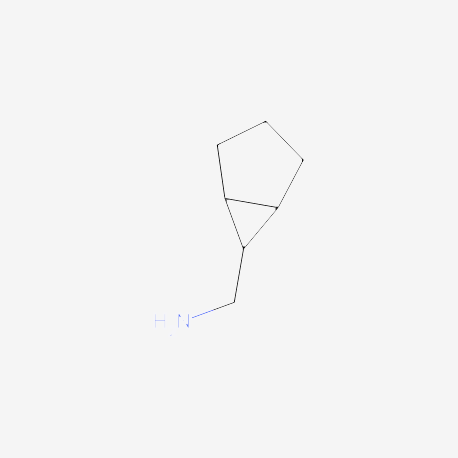 NCC1C2CCCC12